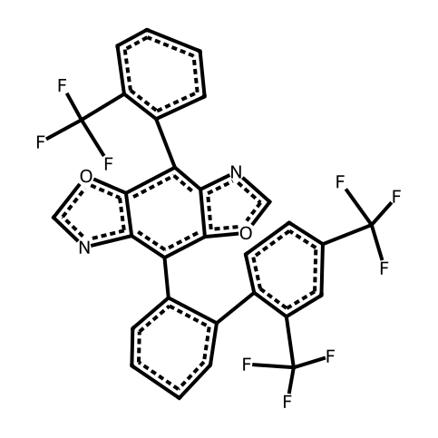 FC(F)(F)c1ccc(-c2ccccc2-c2c3ncoc3c(-c3ccccc3C(F)(F)F)c3ncoc23)c(C(F)(F)F)c1